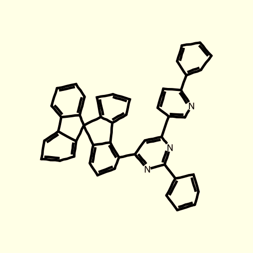 c1ccc(-c2ccc(-c3cc(-c4cccc5c4-c4ccccc4C54c5ccccc5-c5ccccc54)nc(-c4ccccc4)n3)cn2)cc1